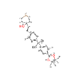 CCC(CC)(c1ccc(/C=C/C2(O)CCSCC2)c(C)c1)c1ccc(B2OC(C)(C)C(C)(C)O2)c(C)c1